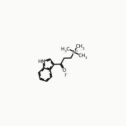 C[N+](C)(C)CCC(=O)c1c[nH]c2ccccc12.[I-]